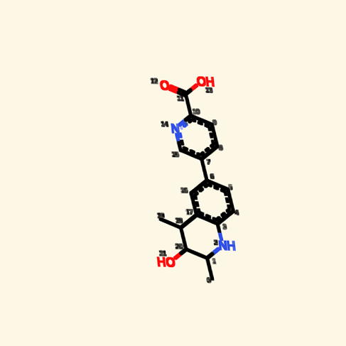 CC1Nc2ccc(-c3ccc(C(=O)O)nc3)cc2C(C)C1O